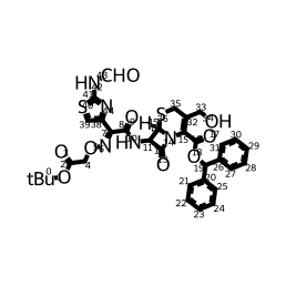 CC(C)(C)OC(=O)CON=C(C(=O)NC1C(=O)N2C(C(=O)OC(c3ccccc3)c3ccccc3)=C(CO)CS[C@@H]12)c1csc(NC=O)n1